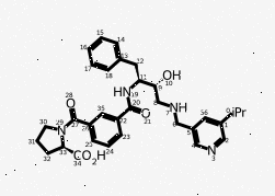 CC(C)c1cncc(CNC[C@@H](O)[C@H](Cc2ccccc2)NC(=O)c2cccc(C(=O)N3CCC[C@@H]3C(=O)O)c2)c1